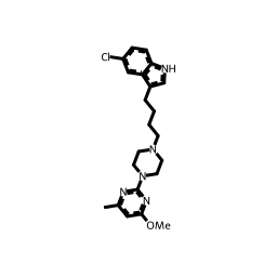 COc1cc(C)nc(N2CCN(CCCCc3c[nH]c4ccc(Cl)cc34)CC2)n1